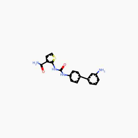 NC(=O)c1ccsc1NC(=O)Nc1ccc(-c2cccc(N)c2)cc1